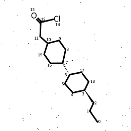 CCC[C@H]1CC[C@H](C2CCC(CC(=O)Cl)CC2)CC1